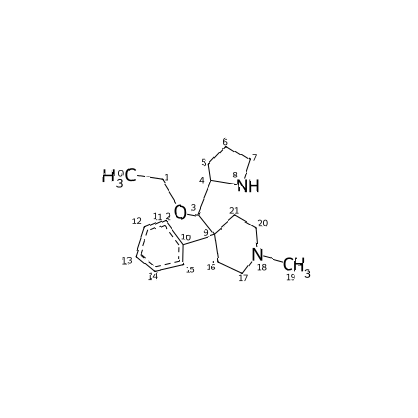 CCOC(C1CCCN1)C1(c2ccccc2)[CH]CN(C)CC1